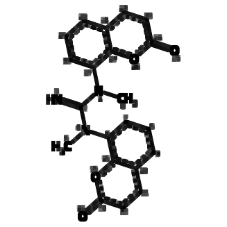 CN(C(=N)N(C)c1cccc2ccc(=O)oc12)c1cccc2ccc(=O)oc12